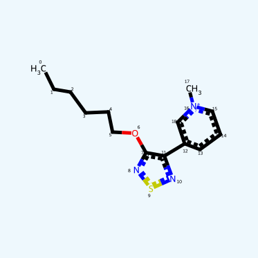 CCCCCCOc1nsnc1-c1ccc[n+](C)c1